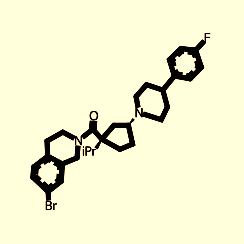 CC(C)[C@]1(C(=O)N2CCc3ccc(Br)cc3C2)CC[C@@H](N2CCC(c3ccc(F)cc3)CC2)C1